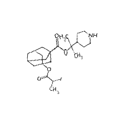 CC(I)C(=O)OC12CC3CC(C1)CC(C(=O)OC(C)(C)C1CCNCC1)(C3)C2